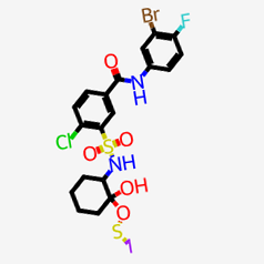 O=C(Nc1ccc(F)c(Br)c1)c1ccc(Cl)c(S(=O)(=O)NC2CCCCC2(O)OSI)c1